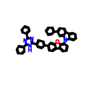 c1ccc(C2=NC(c3ccccc3)NC(c3ccc(-c4ccc5c(c4)oc4c(-n6c7ccccc7c7ccc(-c8ccccc8)cc76)cccc45)cc3)=N2)cc1